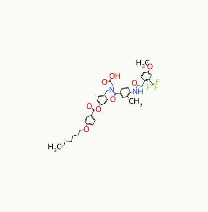 CCCCCCCOc1ccc(C(=O)Oc2ccc(CN(CC(=O)O)C(=O)c3ccc(NC(=O)Cc4ccc(OC)cc4C(F)(F)F)c(C)c3)cc2)cc1